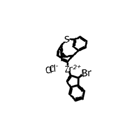 BrC1[C]([Zr+2][C]2=Cc3c4cccc3C2c2cccc(c2)S4)=Cc2ccccc21.[Cl-].[Cl-]